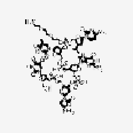 Cc1cn([C@H]2CC(OP(=S)(OCCOCCOCCN)OC[C@H]3O[C@@H](n4ccc(N)nc4=O)CC3C(C)C)[C@@H](COP(=S)(S)OC3C[C@H](n4cnc5c(=O)[nH]c(N)nc54)O[C@@H]3COP(=O)(S)OC3C[C@H](n4ccc(N)nc4=O)O[C@@H]3COP(=O)(S)OC3C[C@H](n4cc(Br)c(=O)[nH]c4=O)O[C@@H]3CO)O2)c(=O)[nH]c1=O